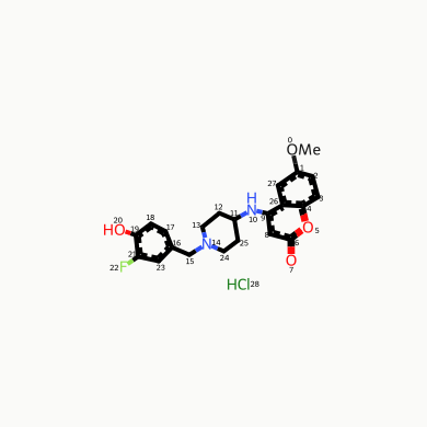 COc1ccc2oc(=O)cc(NC3CCN(Cc4ccc(O)c(F)c4)CC3)c2c1.Cl